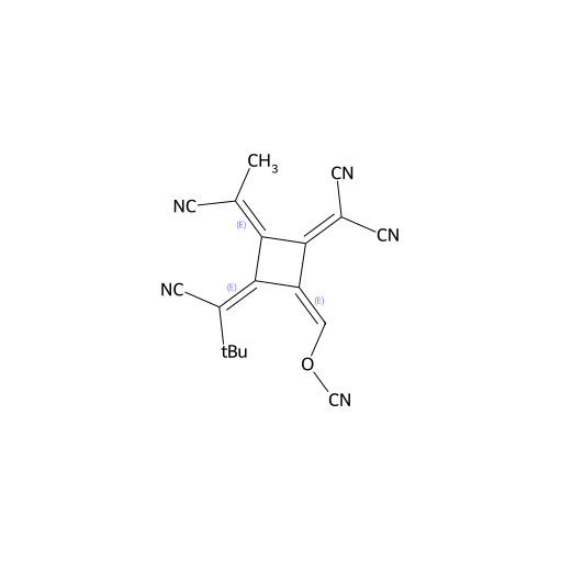 C\C(C#N)=C1/C(=C(C#N)C#N)C(=C/OC#N)/C1=C(/C#N)C(C)(C)C